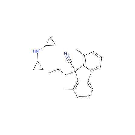 C1CC1NC1CC1.CCCC1(C#N)c2c(C)cccc2-c2cccc(C)c21